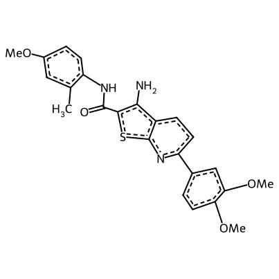 COc1ccc(NC(=O)c2sc3nc(-c4ccc(OC)c(OC)c4)ccc3c2N)c(C)c1